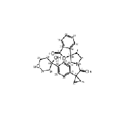 O=C1O[C@]2(CCN(C(=O)C3(c4ccc(C5(O)CCOCC5)cc4)CC3)C2)c2ccccc21